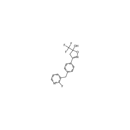 OC1(C(F)(F)F)CC(c2ccc(Cc3cccnc3F)cc2)=NO1